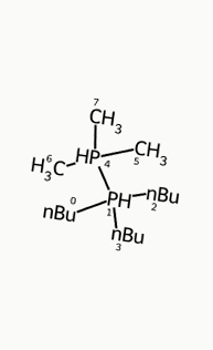 CCCC[PH](CCCC)(CCCC)[PH](C)(C)C